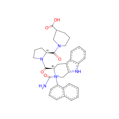 NC(=O)[N+]1(c2cccc3ccccc23)Cc2[nH]c3ccccc3c2C[C@@H]1C(=O)N1CCC[C@H]1C(=O)N1CCCC(C(=O)O)C1